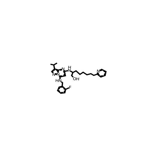 CC(C)c1cnn2c(NCc3ccccc3F)cc(NC(CO)CCCCCCc3ccccn3)nc12